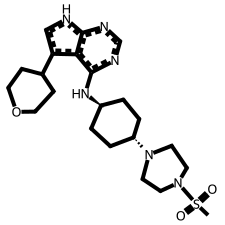 CS(=O)(=O)N1CCN([C@H]2CC[C@H](Nc3ncnc4[nH]cc(C5CCOCC5)c34)CC2)CC1